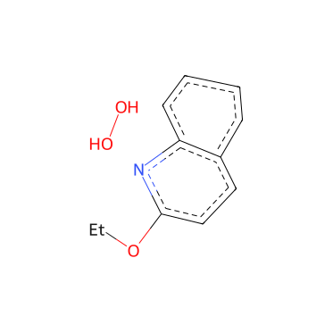 CCOc1ccc2ccccc2n1.OO